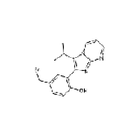 CC(C)c1c(-c2cc(CBr)ccc2O)nc2ncccn12